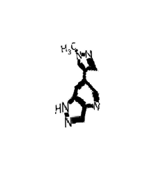 Cn1cc(-c2cnc3cn[nH]c3c2)cn1